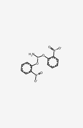 NP(Oc1ccccc1[N+](=O)[O-])Oc1ccccc1[N+](=O)[O-]